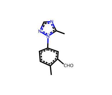 Cc1ccc(-n2ncnc2C)cc1C=O